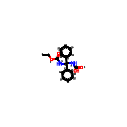 CCOC(=O)NC(NC(=O)O)(c1ccccc1)c1ccccc1